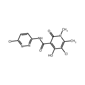 Cc1c(Cl)c(O)c(C(=O)Nc2ccc(Cl)nn2)c(=O)n1C